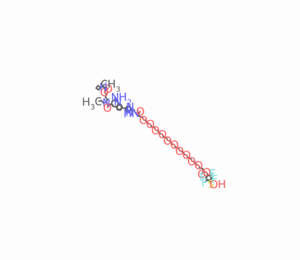 CCCN(CCCOC(=O)N(C)C1CCC1)C(=O)C1=Cc2ccc(-c3cnc(CNC(=O)CCOCCOCCOCCOCCOCCOCCOCCOCCOCCOCCC(=O)Oc4c(F)c(F)c(SO)c(F)c4F)nc3)cc2N=C(N)C1